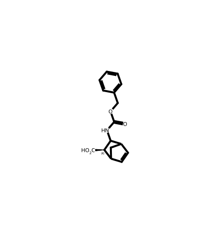 O=C(NC1C2C=CC(C2)[C@H]1C(=O)O)OCc1ccccc1